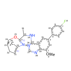 COc1cc(-c2ccc(F)cc2)cc2c(NC(C)/C3=N/C(C(F)(F)F)=C/CCCO3)ncnc12